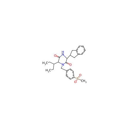 CCC(CC)C1C(=O)NC(C2Cc3ccccc3C2)C(=O)N1Cc1ccc(S(C)(=O)=O)cc1